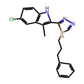 Cc1c(C2=NN=C[SH]2CCCc2ccccc2)[nH]c2ccc(Cl)cc12